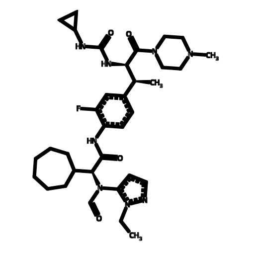 CCn1nccc1N(C=O)[C@H](C(=O)Nc1ccc([C@H](C)[C@@H](NC(=O)NC2CC2)C(=O)N2CCN(C)CC2)cc1F)C1CCCCCC1